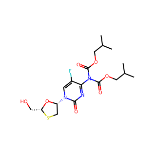 CC(C)COC(=O)N(C(=O)OCC(C)C)c1nc(=O)n([C@@H]2CS[C@H](CO)O2)cc1F